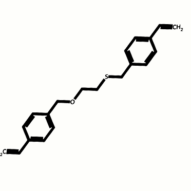 C=Cc1ccc(COCCSCc2ccc(C=C)cc2)cc1